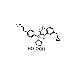 N#C/C=C/c1ccc([C@@H](C(=O)Nc2cc(CC3CC3)ccc2F)C2CCCC2)cc1.O=C(O)O